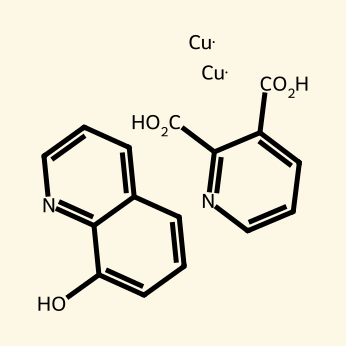 O=C(O)c1cccnc1C(=O)O.Oc1cccc2cccnc12.[Cu].[Cu]